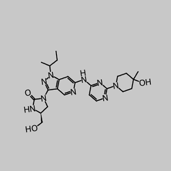 CCC(C)n1nc(N2C[C@@H](CO)NC2=O)c2cnc(Nc3ccnc(N4CCC(C)(O)CC4)n3)cc21